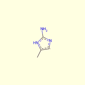 Cc1[c]nc(N)[nH]1